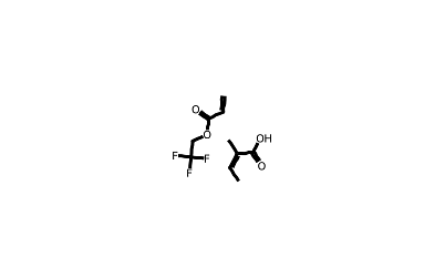 C=CC(=O)OCC(F)(F)F.CC=C(C)C(=O)O